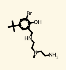 CN(CCN)CCNCc1cc(C(C)(C)C)cc(Br)c1O